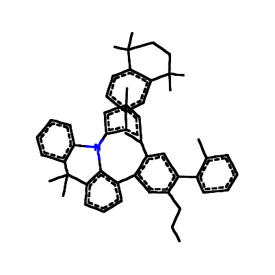 CCCc1cc2c(cc1-c1ccccc1C)-c1cc(C)cc(c1-c1ccc3c(c1)C(C)(C)CCC3(C)C)N1c3ccccc3C(C)(C)c3cccc-2c31